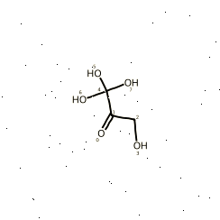 O=C(CO)C(O)(O)O